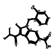 Cc1c(C(=O)C(C)C)c2ccc(C(=O)O)cc2n1Cc1ccccc1Cl